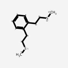 CSCCc1ccccc1CCSC